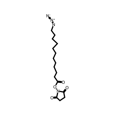 [N-]=[N+]=NCCCCCCCCCCCC(=O)ON1C(=O)CCC1=O